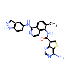 Cc1ccc2c(Nc3ccc4[nH]ncc4c3)nccc2c1NC(=O)c1csc2c(N)ncnc12